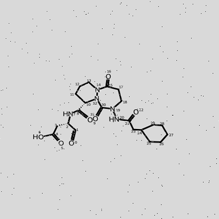 O=C[C@H](CC(=O)O)NC(=O)[C@@H]1CCCN2C(=O)CCN(NC(=O)CC3CCCCC3)C(=O)N12